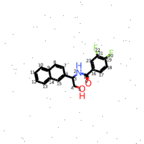 O=C(NC(CO)c1ccc2ccccc2c1)c1ccc(F)c(F)c1